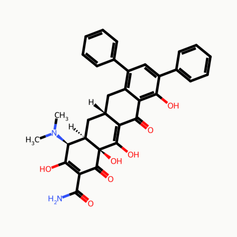 CN(C)[C@@H]1C(O)=C(C(N)=O)C(=O)[C@@]2(O)C(O)=C3C(=O)c4c(O)c(-c5ccccc5)cc(-c5ccccc5)c4C[C@H]3C[C@H]12